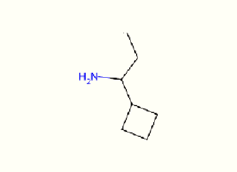 [CH2]CC(N)C1CCC1